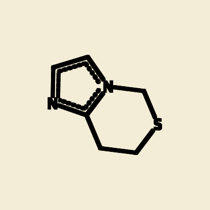 c1cn2c(n1)CCSC2